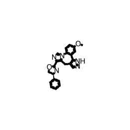 COc1ccc2c(c1)-c1[nH]ncc1Cc1c(C3=N[C@@H](c4ccccc4)CO3)ncn1-2